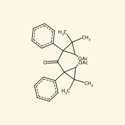 CC(=O)OC1C(C)(C)C1(C(=O)C1(c2ccccc2)C(OC(C)=O)C1(C)C)c1ccccc1